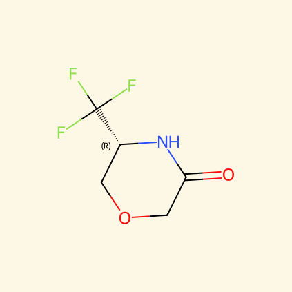 O=C1COC[C@H](C(F)(F)F)N1